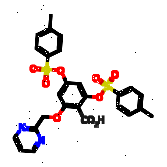 Cc1ccc(S(=O)(=O)Oc2cc(OCc3ncccn3)c(C(=O)O)c(OS(=O)(=O)c3ccc(C)cc3)c2)cc1